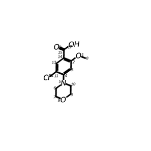 COc1cc(N2CCOCC2)c(Cl)cc1C(=O)O